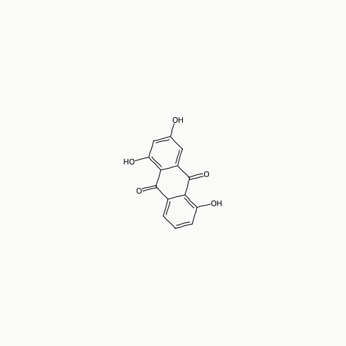 O=C1c2cc(O)cc(O)c2C(=O)c2cccc(O)c21